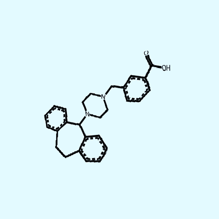 O=C(O)c1cccc(CN2CCN(C3c4ccccc4CCc4ccccc43)CC2)c1